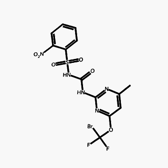 Cc1cc(OC(F)(F)Br)nc(NC(=O)NS(=O)(=O)c2ccccc2[N+](=O)[O-])n1